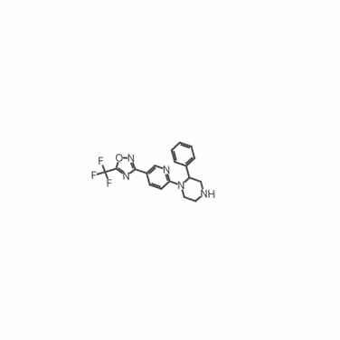 FC(F)(F)c1nc(-c2ccc(N3CCNCC3c3ccccc3)nc2)no1